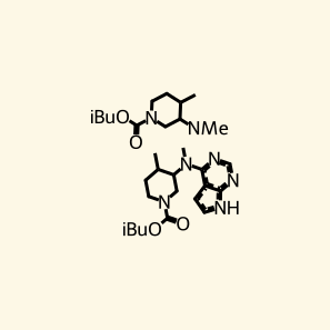 CC(C)COC(=O)N1CCC(C)C(N(C)c2ncnc3[nH]ccc23)C1.CNC1CN(C(=O)OCC(C)C)CCC1C